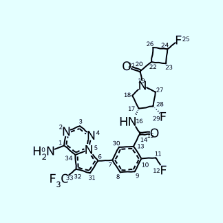 Nc1ncnn2c(-c3ccc(CF)c(C(=O)N[C@@H]4CN(C(=O)C5CC(F)C5)C[C@@H]4F)c3)cc(C(F)(F)F)c12